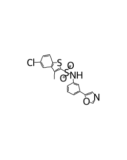 Cc1c(S(=O)(=O)Nc2cccc(-c3cnco3)c2)sc2ccc(Cl)cc12